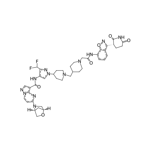 O=C1CC[C@H](c2noc3c(NC(=O)CN4CCC(CN5CCC(n6cc(NC(=O)c7cnn8ccc(N9C[C@H]%10C[C@@H]9CO%10)nc78)c(C(F)F)n6)CC5)CC4)cccc23)C(=O)N1